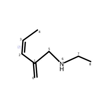 C=C(/C=C\C)CNCC